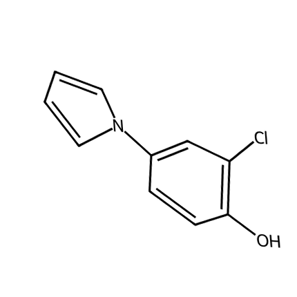 Oc1ccc(-n2cccc2)cc1Cl